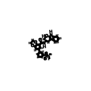 CN(C)S(=O)(=O)c1cccc(-c2cc3c(c(C(=O)N[C@@H](CO)Cc4c[nH]c5ccccc45)c2)OCCO3)c1